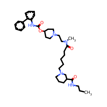 CCCNC(=O)C1CCCN(CCCCCC(=O)N(C)CCN2CCC(OC(=O)Nc3ccccc3-c3ccccc3)CC2)C1